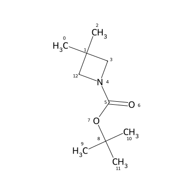 CC1(C)CN(C(=O)OC(C)(C)C)C1